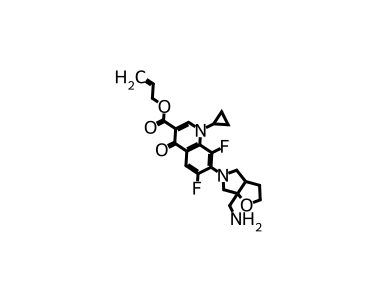 C=CCOC(=O)c1cn(C2CC2)c2c(F)c(N3CC4CCOC4(CN)C3)c(F)cc2c1=O